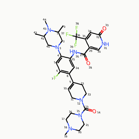 CC1CN(c2cc(F)c(C3=CCN(C(=O)N4CCN(C)CC4)CC3)cc2NC(=O)c2c[nH]c(=O)cc2C(F)(F)F)CC(C)N1C